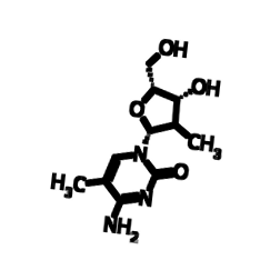 Cc1cn([C@@H]2O[C@H](CO)[C@H](O)C2C)c(=O)nc1N